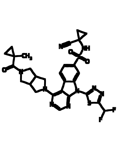 CC1(C(=O)N2CC3CN(c4ncnc5c4c4ccc(S(=O)(=O)NC6(C#N)CC6)cc4n5-c4nnc(C(F)F)s4)CC3C2)CC1